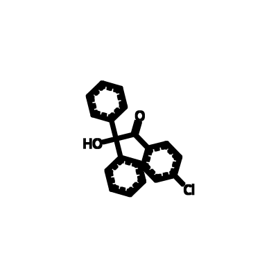 O=C(c1ccc(Cl)cc1)C(O)(c1ccccc1)c1ccccc1